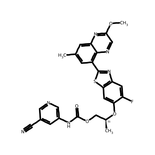 COc1cnc2c(-c3nc4cc(F)c(O[C@@H](C)COC(=O)Nc5cncc(C#N)c5)cc4s3)cc(C)cc2n1